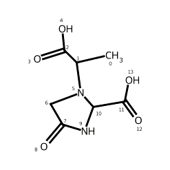 CC(C(=O)O)N1CC(=O)NC1C(=O)O